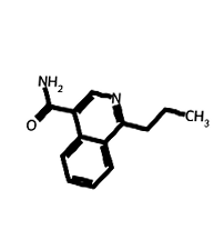 CCCc1ncc(C(N)=O)c2ccccc12